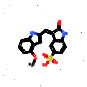 COc1cccc2[nH]c(/C=C3/C(=O)Nc4ccc(S(=O)(=O)O)cc43)cc12